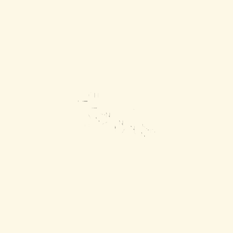 COc1cc(C(=O)O)cc2nc(-c3cc4ccc(N(C)S(C)(=O)=O)nc4n3CC3CC3)c(C)n12